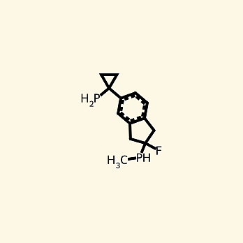 CPC1(F)Cc2ccc(C3(P)CC3)cc2C1